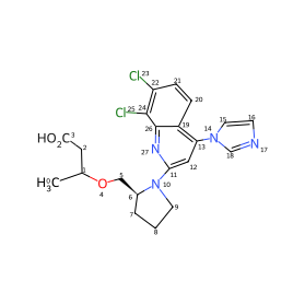 CC(CC(=O)O)OC[C@@H]1CCCN1c1cc(-n2ccnc2)c2ccc(Cl)c(Cl)c2n1